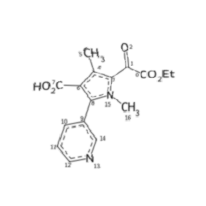 CCOC(=O)C(=O)c1c(C)c(C(=O)O)c(-c2cccnc2)n1C